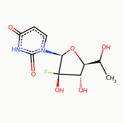 CC(O)[C@@H]1O[C@H](n2ccc(=O)[nH]c2=O)[C@@](O)(F)[C@H]1O